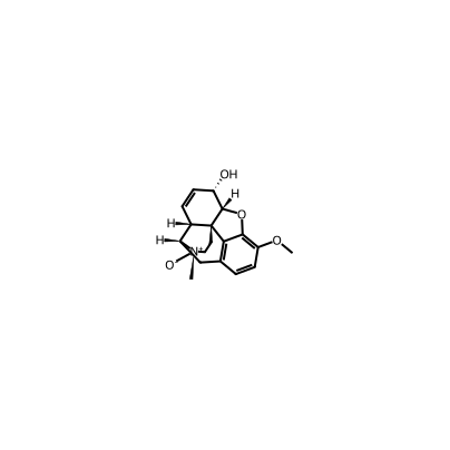 COc1ccc2c3c1O[C@H]1[C@@H](O)C=C[C@H]4[C@@H](C2)[N@@+](C)([O-])CC[C@@]341